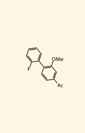 COc1cc(C(C)=O)ccc1-c1ccccc1F